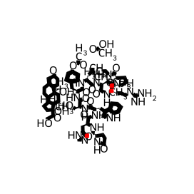 CC(=O)O.CCNC(=O)[C@@H]1CCCN1C(=O)[C@H](CCCNC(=N)N)NC(=O)[C@H](CC(C)C)NC(=O)[C@@H](CC(C)C)NC(=O)[C@H](Cc1ccc(OC(C)=O)cc1)NC(=O)[C@H](CO)NC(=O)[C@H](Cc1c[nH]c2ccccc12)NC(=O)[C@H](Cc1cnc[nH]1)NC(=O)[C@@H]1CCC(=O)N1.C[C@]12CCC(=O)C=C1CC[C@@H]1[C@@H]2[C@@H](O)C[C@@]2(C)[C@H]1CC[C@]2(O)C(=O)CO